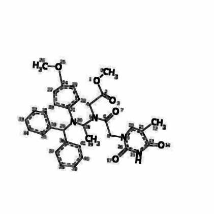 COC(=O)CN(C(=O)Cn1cc(C)c(=O)[nH]c1=O)C(C)N(c1ccc(OC)cc1)C(c1ccccc1)c1ccccc1